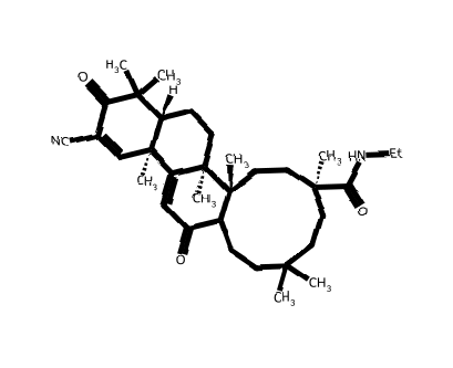 CCNC(=O)[C@@]1(C)CCC(C)(C)CCC2C(=O)C=C3[C@@]4(C)C=C(C#N)C(=O)C(C)(C)[C@@H]4CC[C@@]3(C)[C@]2(C)CC1